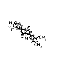 CCc1nc(C)cn2nc(C3=CC(=O)N4C=C(N5CCN(C)C(C)C5)C=C(C)C4P3)cc12